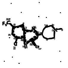 CN1CCN(c2nc3cc(C(F)(F)F)cc(Cl)c3[nH]c2=O)CC1